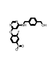 O=[N+]([O-])c1ccc(Oc2cc(NCc3ccc(CO)cc3)ncn2)c(F)c1